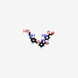 O=CC(=O)C1CCC(N2Cc3c(OCc4ccc(CNCCO)cc4)cccc3C2=O)CN1